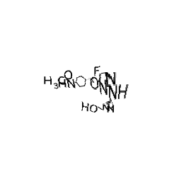 CC(=O)N[C@H]1CC[C@H](COc2nc(Nc3cnn(CCO)c3)ncc2F)CC1